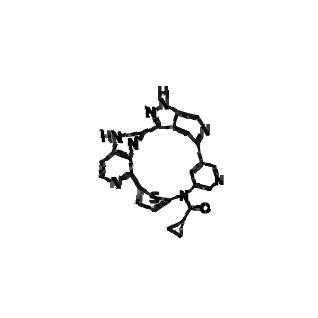 O=C(C1CC1)n1c2cncc(c2)c2cc3c(cn2)[nH]nc3c2nc3c(ccnc3c3ccc1s3)[nH]2